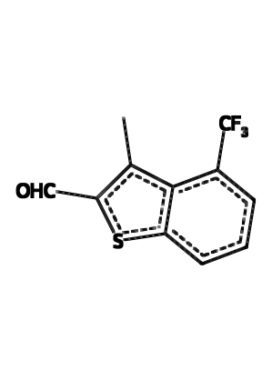 Cc1c(C=O)sc2cccc(C(F)(F)F)c12